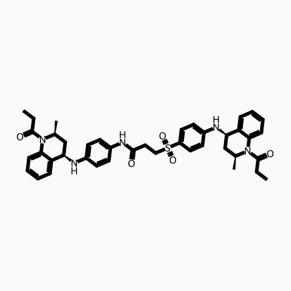 CCC(=O)N1c2ccccc2[C@H](Nc2ccc(NC(=O)CCS(=O)(=O)c3ccc(N[C@@H]4C[C@H](C)N(C(=O)CC)c5ccccc54)cc3)cc2)C[C@@H]1C